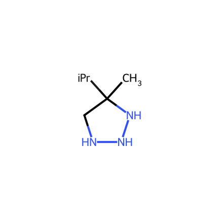 CC(C)C1(C)CNNN1